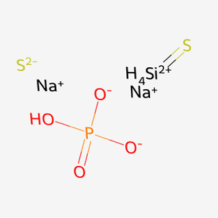 O=P([O-])([O-])O.[Na+].[Na+].[S-2].[SiH4+2]=S